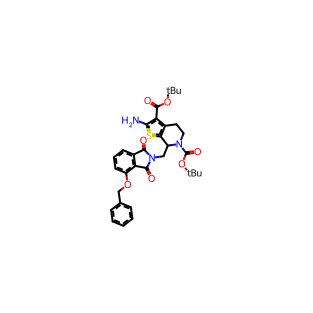 CC(C)(C)OC(=O)c1c(N)sc2c1CCN(C(=O)OC(C)(C)C)C2CN1C(=O)c2cccc(OCc3ccccc3)c2C1=O